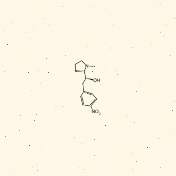 CN1CCC[C@@H]1[C@@H](O)Cc1ccc([N+](=O)[O-])cc1